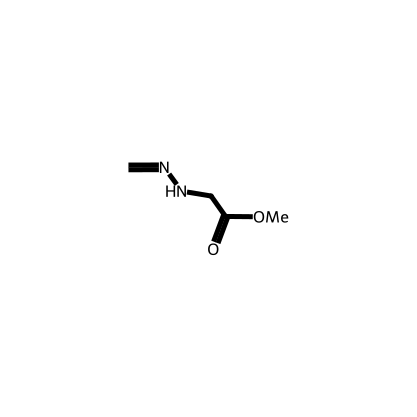 C=NNCC(=O)OC